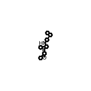 c1ccc2c(-c3ccc(Nc4cccc5c4c4ccccc4n5-c4ccc5oc6ccccc6c5c4)cc3)cccc2c1